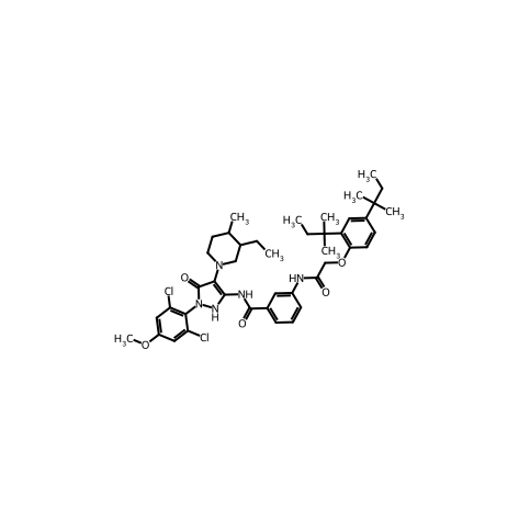 CCC1CN(c2c(NC(=O)c3cccc(NC(=O)COc4ccc(C(C)(C)CC)cc4C(C)(C)CC)c3)[nH]n(-c3c(Cl)cc(OC)cc3Cl)c2=O)CCC1C